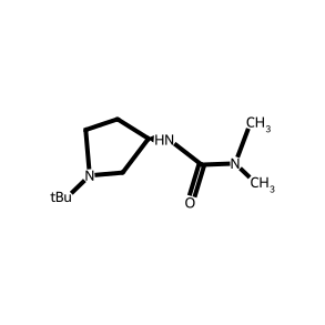 CN(C)C(=O)N[C@@H]1CCN(C(C)(C)C)C1